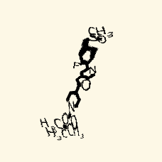 C[S+]([O-])Cc1ccc(-c2cc3c(cn2)OC(C2CCN(C(=O)OC(C)(C)C)CC2)C3)c(F)c1